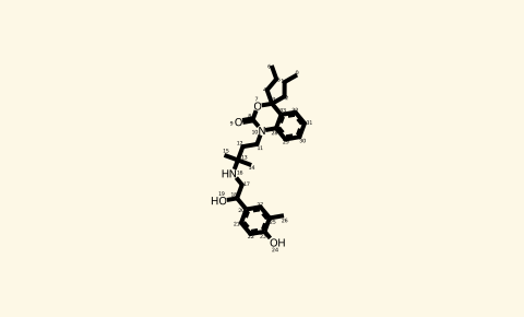 CCCC1(CCC)OC(=O)N(CCC(C)(C)NCC(O)c2ccc(O)c(C)c2)c2ccccc21